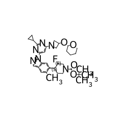 Cc1cc2cnn(-c3cc(N4CC(OC5CCCCO5)C4)nc(C4CC4)n3)c2cc1[C@@H]1CCN(C(=O)OC(C)(C)C)C[C@@H]1F